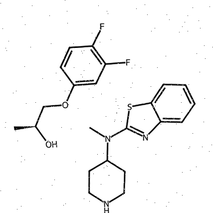 CN(c1nc2ccccc2s1)C1CCNCC1.C[C@H](O)COc1ccc(F)c(F)c1